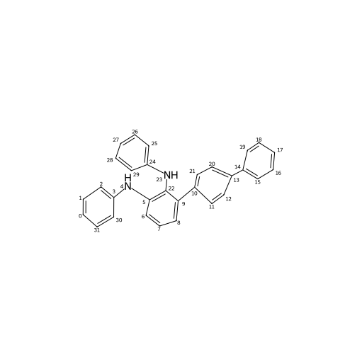 c1ccc(Nc2cccc(-c3ccc(-c4ccccc4)cc3)c2Nc2ccccc2)cc1